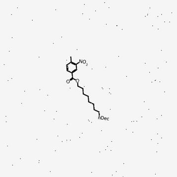 CCCCCCCCCCCCCCCCCCOC(=O)c1ccc(C)c([N+](=O)[O-])c1